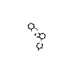 O=c1ccn(-c2cccc3c2ncn3Cc2ccccc2Cl)cc1O